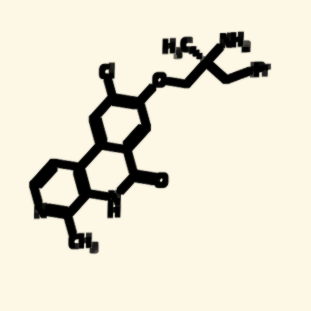 Cc1nccc2c1[nH]c(=O)c1cc(OC[C@@](C)(N)CC(C)C)c(Cl)cc12